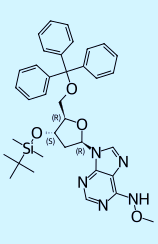 CONc1ncnc2c1ncn2[C@H]1C[C@H](O[Si](C)(C)C(C)(C)C)[C@@H](COC(c2ccccc2)(c2ccccc2)c2ccccc2)O1